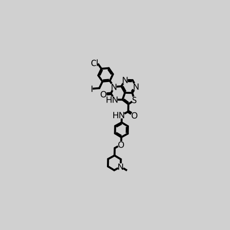 CN1CCCC(COc2ccc(NC(=O)c3sc4ncnc5c4c3NC(=O)N5c3ccc(Cl)cc3CI)cc2)C1